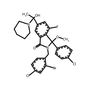 COC1(c2ccc(Cl)cc2)c2c(F)cc(C(C)(O)N3CCCCC3)cc2C(=O)N1Cc1ccc(Cl)cc1Br